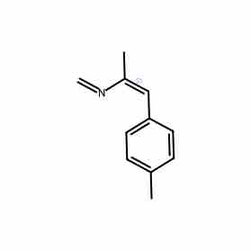 C=N/C(C)=C\c1ccc(C)cc1